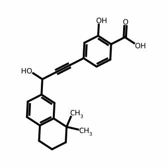 CC1(C)CCCc2ccc(C(O)C#Cc3ccc(C(=O)O)c(O)c3)cc21